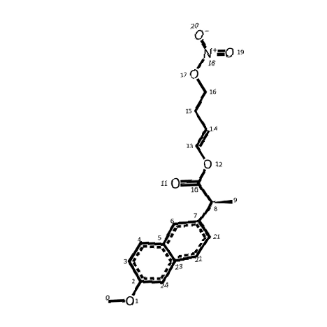 COc1ccc2cc([C@H](C)C(=O)OC=CCCO[N+](=O)[O-])ccc2c1